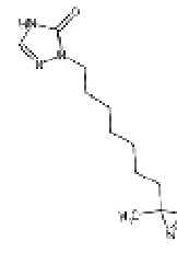 CC1(CCCCCCCn2nc[nH]c2=O)N=N1